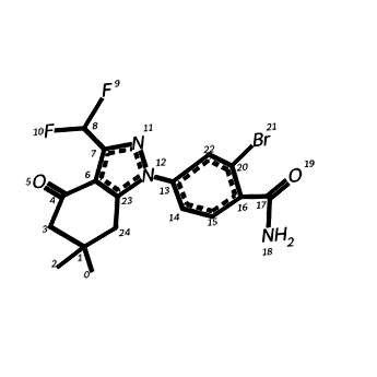 CC1(C)CC(=O)c2c(C(F)F)nn(-c3ccc(C(N)=O)c(Br)c3)c2C1